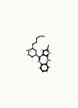 COCCC[C@H]1CN(C2=Nc3ccccc3Nc3sc(C)cc32)CCN1